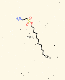 CCCCCCCCCCCCOS(=O)(=O)CCN.[CaH2]